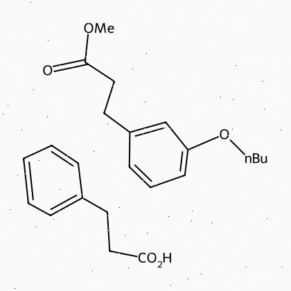 CCCCOc1cccc(CCC(=O)OC)c1.O=C(O)CCc1ccccc1